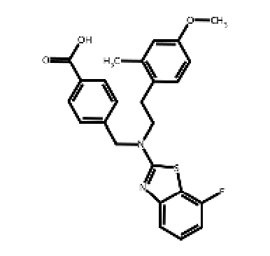 COc1ccc(CCN(Cc2ccc(C(=O)O)cc2)c2nc3cccc(F)c3s2)c(C)c1